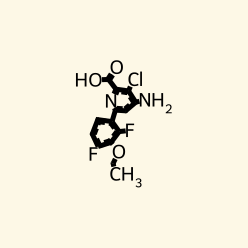 CCOc1c(F)ccc(-c2cc(N)c(Cl)c(C(=O)O)n2)c1F